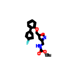 CC(C)(C)OC(=O)NCC1=NOC(COc2ccccc2-c2ccc(F)cc2)C1